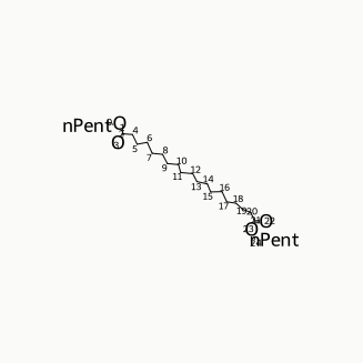 CCCCCOC(=O)CCCCCCCCCCCCCCCCCC(=O)OCCCCC